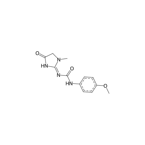 COc1ccc(NC(=O)N=C2NC(=O)CN2C)cc1